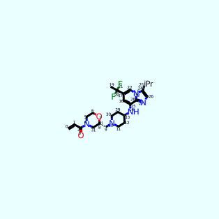 C=CC(=O)N1CCO[C@H](CN2CCC(Nc3cc(C(C)(F)F)cn4c(C(C)C)cnc34)CC2)C1